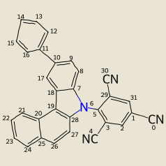 N#Cc1cc(C#N)c(-n2c3ccc(-c4ccccc4)cc3c3c4ccccc4ccc32)c(C#N)c1